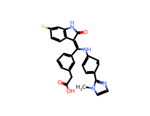 Cn1ccnc1-c1ccc(N/C(=C2\C(=O)Nc3cc(F)ccc32)c2cccc(CC(=O)O)c2)cc1